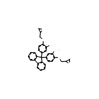 COc1cc(C2(c3ccc(OCC4CO4)c(OC)c3)c3ccccc3-c3ccccc32)ccc1OCC1CO1